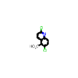 O=C(O)c1c(Cl)ccc2nc(Cl)ccc12